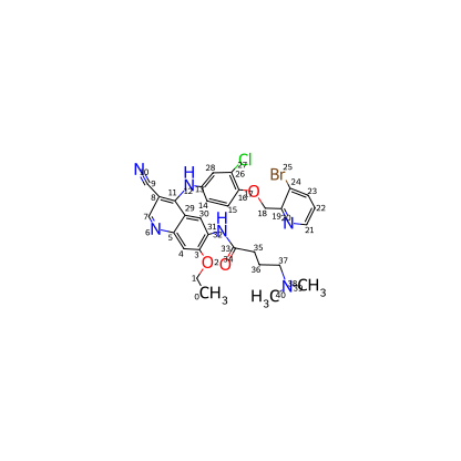 CCOc1cc2ncc(C#N)c(Nc3ccc(OCc4ncccc4Br)c(Cl)c3)c2cc1NC(=O)CCCN(C)C